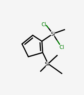 C[Si](C)(C)C1=C([Si](C)(Cl)Cl)C=CC1